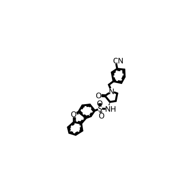 N#Cc1cccc(CN2CC[C@H](NS(=O)(=O)c3ccc4oc5ccccc5c4c3)C2=O)c1